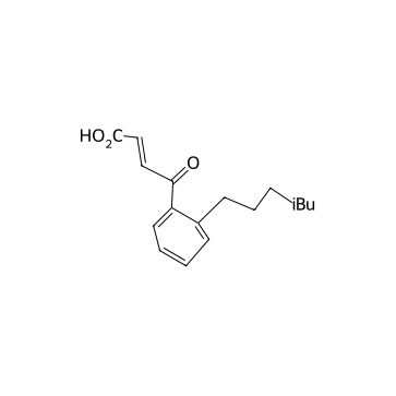 CCC(C)CCCc1ccccc1C(=O)C=CC(=O)O